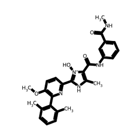 CNC(=O)c1cccc(NC(=O)c2c(C)[nH]c(-c3ccc(OC)c(-c4c(C)cccc4C)n3)[n+]2O)c1